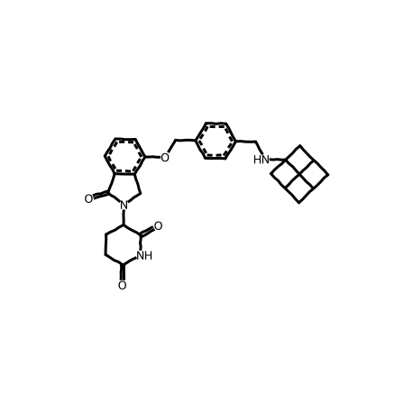 O=C1CCC(N2Cc3c(OCc4ccc(CNC56CC7CC8CC(C5)C876)cc4)cccc3C2=O)C(=O)N1